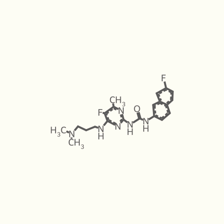 Cc1nc(NC(=O)Nc2ccc3ccc(F)cc3c2)nc(NCCCN(C)C)c1F